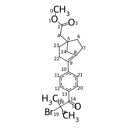 COC(=O)CC12CCC(=C(c3ccc(C(=O)C(C)(C)Br)cc3)CC1)C2